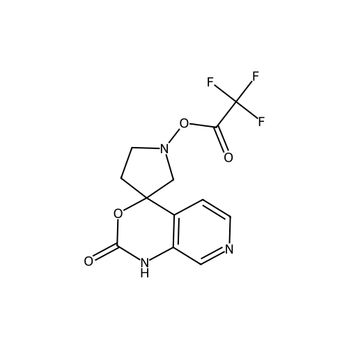 O=C1Nc2cnccc2C2(CCN(OC(=O)C(F)(F)F)C2)O1